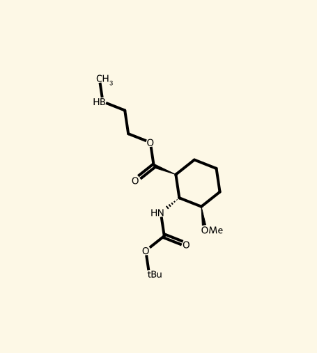 CBCCOC(=O)[C@H]1CCC[C@@H](OC)[C@@H]1NC(=O)OC(C)(C)C